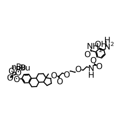 CCCCOP(=O)(OCCCC)Oc1ccc2c(c1)CCC1C2CCC2(C)C(OC(=O)COCCOCCNC(=O)Oc3ccc(N)c(O)c3C(N)=O)CCC12